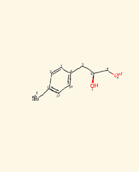 CC(C)(C)c1ccc(C[C@H](O)CO)cc1